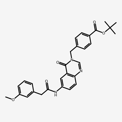 COc1cccc(CC(=O)Nc2ccc3ncn(Cc4ccc(C(=O)OC(C)(C)C)cc4)c(=O)c3c2)c1